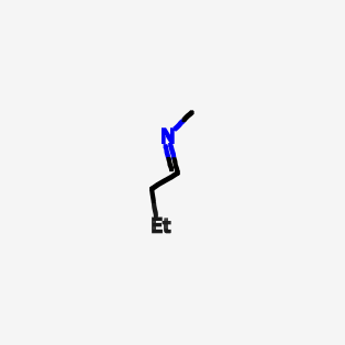 CCCC=NC